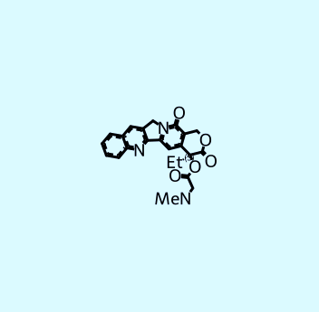 CC[C@@]1(OC(=O)CNC)C(=O)OCc2c1cc1n(c2=O)Cc2cc3ccccc3nc2-1